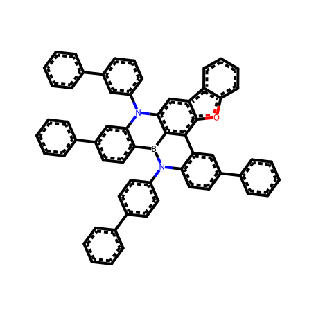 c1ccc(-c2ccc(N3B4c5ccc(-c6ccccc6)cc5N(c5cccc(-c6ccccc6)c5)c5cc6c(oc7ccccc76)c(c54)-c4cc(-c5ccccc5)ccc43)cc2)cc1